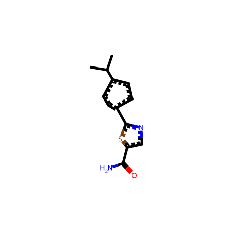 CC(C)c1ccc(-c2ncc(C(N)=O)s2)cc1